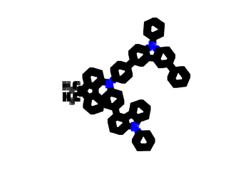 CC1(C)c2ccccc2-c2c(N(c3ccc(-c4ccc5c(c4)c4cc(-c6ccccc6)ccc4n5-c4ccccc4)cc3)c3ccc(-c4cccc5c4c4ccccc4n5-c4ccccc4)cc3)cccc21